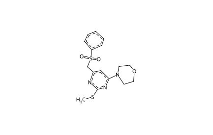 CSc1nc(CS(=O)(=O)c2ccccc2)cc(N2CCOCC2)n1